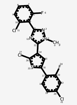 Cn1nc(-c2c(F)cccc2Cl)nc1-c1cc(-c2ccc(Cl)cc2F)sc1Cl